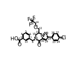 O=C(O)c1cccc(CN2CC(COCC(F)(F)F)n3nc(-c4ccc(Cl)cc4)cc3C2=O)c1